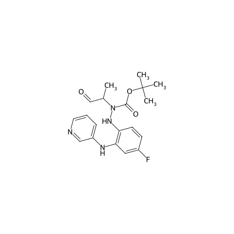 CC(C=O)N(Nc1ccc(F)cc1Nc1cccnc1)C(=O)OC(C)(C)C